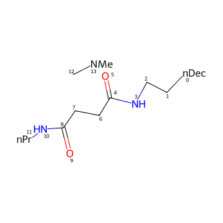 CCCCCCCCCCCCNC(=O)CCC(=O)NCCC.CNC